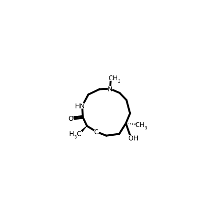 C[C@@H]1CCC[C@](C)(O)CCCN(C)CCNC1=O